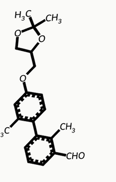 Cc1cc(OCC2COC(C)(C)O2)ccc1-c1cccc(C=O)c1C